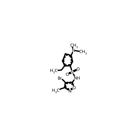 CCc1ccc(N(C)C)cc1S(=O)(=O)Nc1onc(C)c1Br